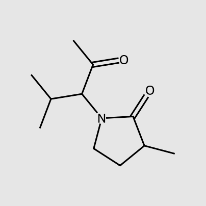 CC(=O)C(C(C)C)N1CCC(C)C1=O